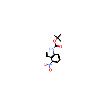 C=Cc1c(NC(=O)OC(C)(C)C)cccc1[N+](=O)[O-]